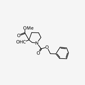 COC(=O)C1(C=O)CCCN(C(=O)OCc2ccccc2)C1